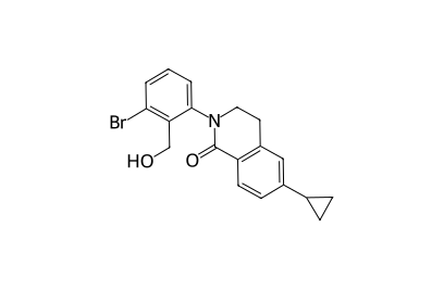 O=C1c2ccc(C3CC3)cc2CCN1c1cccc(Br)c1CO